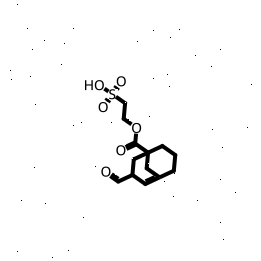 O=CC1C=C2CCCC(C(=O)OCCS(=O)(=O)O)(C2)C1